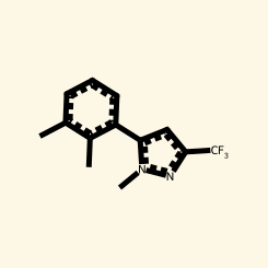 Cc1cccc(-c2cc(C(F)(F)F)nn2C)c1C